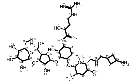 N=C(N)NCC[C@H](O)C(=O)N[C@@H]1C[C@H](N)[C@@H](O[C@H]2O[C@H](CNCC3CC(N)C3)[C@@H](O)C[C@H]2N)[C@H](O[C@@H]2O[C@H](CO)[C@@H](O[C@H]3O[C@@H](CN)[C@@H](O)[C@H](O)[C@H]3N)[C@H]2O)[C@H]1O